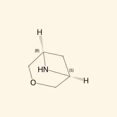 C1OC[C@H]2C[C@@H]1N2